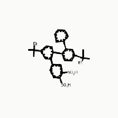 CCC(C)(C)c1ccc(-c2ccc(C(C)(C)CC)cc2-c2ccc(S(=O)(=O)O)c(S(=O)(=O)O)c2)c(-c2ccccc2)c1